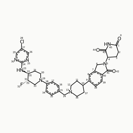 O=C1CCC(N2Cc3cc(C4CCN(Cc5ccc(N6CC[C@H](Nc7ncc(Cl)cn7)[C@@H](F)C6)cc5)CC4)ccc3C2=O)C(=O)N1